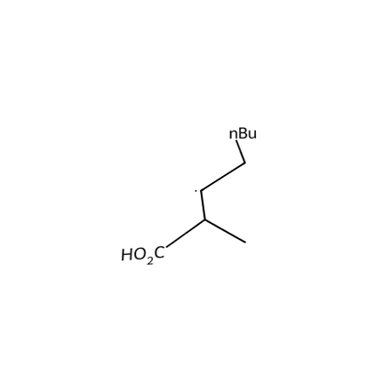 CCCCC[CH]C(C)C(=O)O